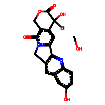 CCC1(O)C(=O)OCc2c1cc1n(c2=O)Cc2cc3cc(O)ccc3nc2-1.CO